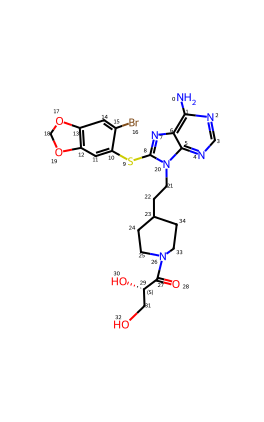 Nc1ncnc2c1nc(Sc1cc3c(cc1Br)OCO3)n2CCC1CCN(C(=O)[C@@H](O)CO)CC1